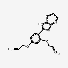 C=CCOc1ccc(-c2nc3nccnc3[nH]2)c(OCC=C)c1